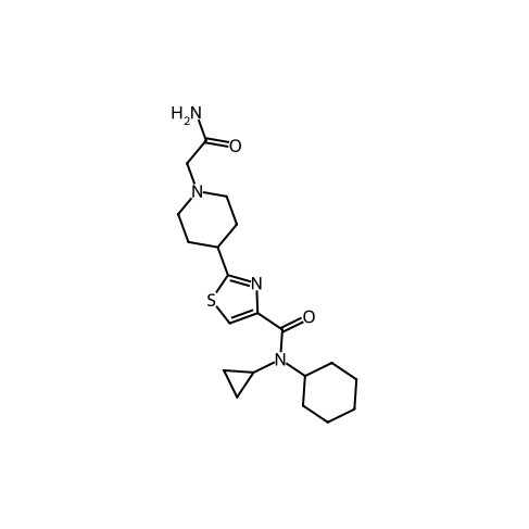 NC(=O)CN1CCC(c2nc(C(=O)N(C3CCCCC3)C3CC3)cs2)CC1